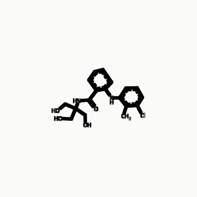 Cc1c(Cl)cccc1Nc1ccccc1C(=O)NC(CO)(CO)CO